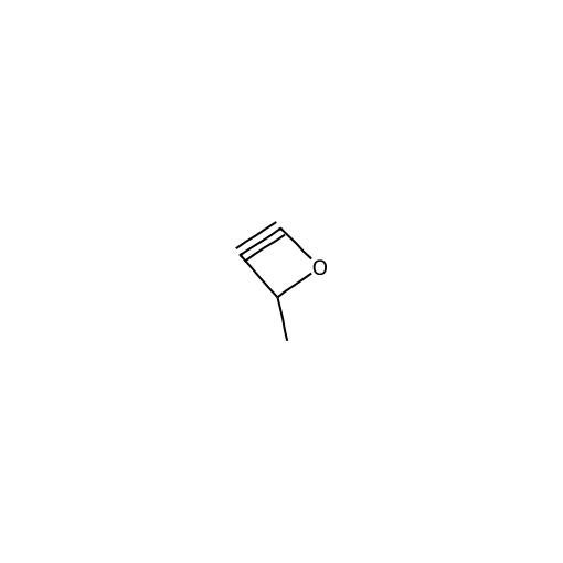 CC1C#CO1